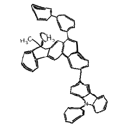 CC1(C)c2ccccc2-c2cc3c(cc21)c(-c1cccc(-c2ccccc2)c1)cc1ccc(-c2ccc4c(c2)c2ccccc2n4-c2ccccc2)cc13